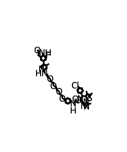 Cc1cc(NCCOCCOCCOCCOc2ccc(NC(=O)C[C@@H]3N=C(c4ccc(Cl)cc4)c4c(sc(C)c4C)-n4c(C)nnc43)cc2)ncc1-c1cc(F)c2c(c1)CC(=O)N2